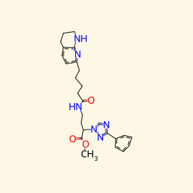 COC(=O)C(CCNC(=O)CCCCc1ccc2c(n1)NCCC2)n1cnc(-c2ccccc2)n1